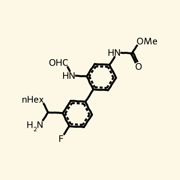 CCCCCCC(N)c1cc(-c2ccc(NC(=O)OC)cc2NC=O)ccc1F